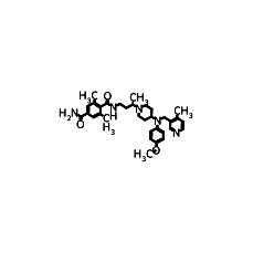 COc1ccc(N(Cc2cnccc2C)C2CCN([C@H](C)CCNC(=O)c3c(C)cc(C(N)=O)cc3C)CC2)cc1